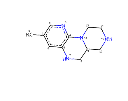 N#Cc1cnc2c(c1)NCC1CNCCN21